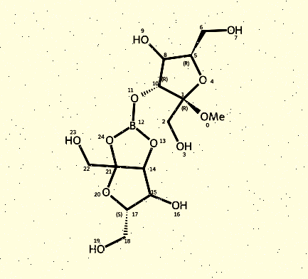 CO[C@]1(CO)O[C@H](CO)C(O)[C@H]1OB1OC2C(O)[C@H](CO)OC2(CO)O1